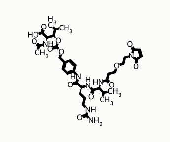 CC(=O)N[C@H](C(=O)O)[C@H](OC(=O)OCc1ccc(NC(=O)[C@H](CCCNC(N)=O)NC(=O)[C@@H](NC(=O)CCOCCN2C(=O)C=CC2=O)C(C)C)cc1)C(C)C